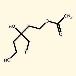 CC(=O)OCCC(O)(CF)CCO